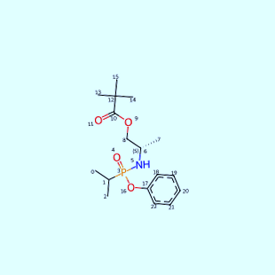 CC(C)P(=O)(N[C@@H](C)COC(=O)C(C)(C)C)Oc1ccccc1